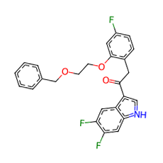 O=C(Cc1ccc(F)cc1OCCOCc1ccccc1)c1c[nH]c2cc(F)c(F)cc12